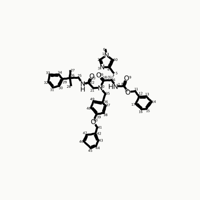 Cn1cnc(C[C@H](NC(=O)OCc2ccccc2)C(=O)N(CC(=O)NCC(C)(C)c2ccccc2)Cc2ccc(OCc3ccccc3)cc2)c1